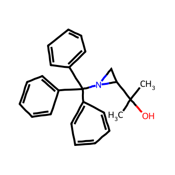 CC(C)(O)C1CN1C(c1ccccc1)(c1ccccc1)c1ccccc1